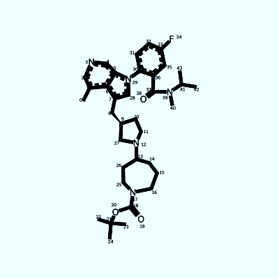 Cc1cncc2c1c(C[C@H]1CCN(C3CCCN(C(=O)OC(C)(C)C)CC3)C1)cn2-c1ccc(F)cc1C(=O)N(C)C(C)C